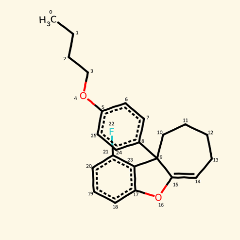 CCCCOc1ccc(C23CCCCC=C2Oc2cccc(F)c23)cc1